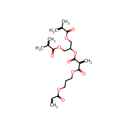 C=CC(=O)OCCCOC(=O)C(=C)C(=O)OC(COC(=O)C(=C)C)COC(=O)C(=C)C